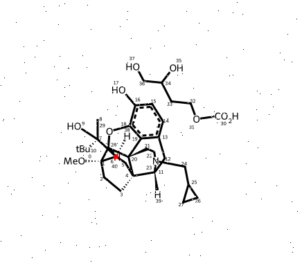 CO[C@@]12CC[C@@]3(C[C@@H]1[C@](C)(O)C(C)(C)C)[C@H]1Cc4ccc(O)c5c4[C@@]3(CCN1CC1CC1)[C@H]2O5.O=C(O)OCCC(O)CO